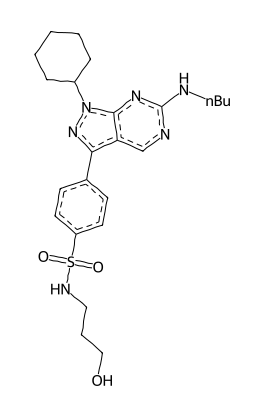 CCCCNc1ncc2c(-c3ccc(S(=O)(=O)NCCCO)cc3)nn(C3CCCCC3)c2n1